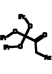 CC(=O)CC(=O)C(OC(C)C)(OC(C)C)OC(C)C